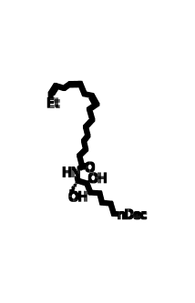 CC/C=C\C/C=C\C/C=C\CCCCCCCC(=O)N[C@@H](CO)[C@H](O)CCCCCCCCCCCCCCC